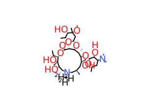 [2H]C([2H])([2H])N1C[C@H](C)C[C@@](C)(O)[C@H](OC2OC(C)CC(N(C)C)C2O)[C@@H](C)[C@H](OC2CC(C)(OC)C(O)C(C)O2)[C@@H](C)C(=O)O[C@H](CC)[C@@](C)(O)[C@H](O)[C@H]1C